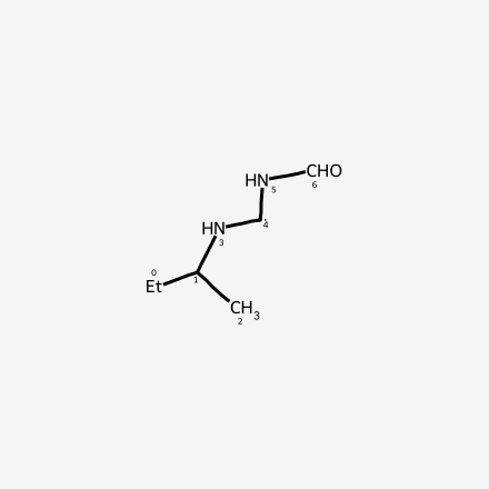 CCC(C)N[CH]NC=O